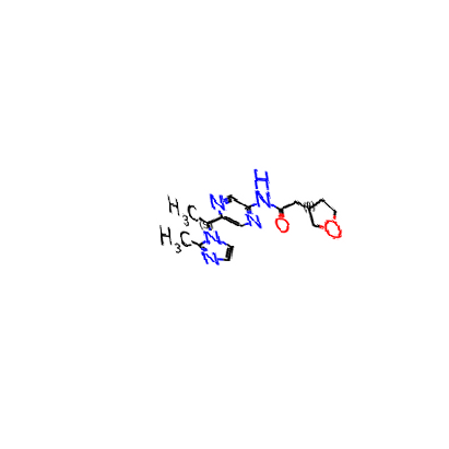 Cc1nccn1[C@@H](C)c1cnc(NC(=O)C[C@H]2CCOC2)cn1